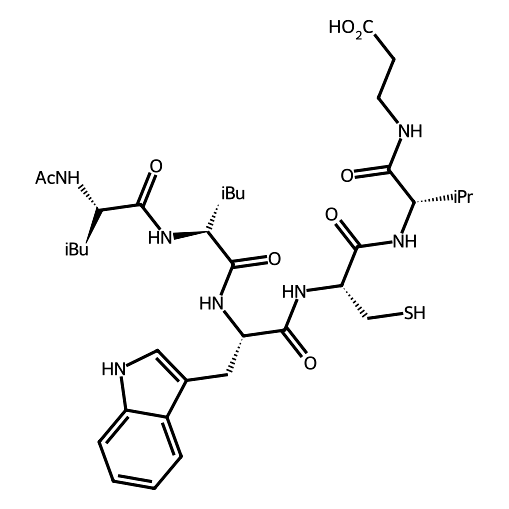 CC[C@H](C)[C@H](NC(C)=O)C(=O)N[C@H](C(=O)N[C@@H](Cc1c[nH]c2ccccc12)C(=O)N[C@@H](CS)C(=O)N[C@H](C(=O)NCCC(=O)O)C(C)C)[C@@H](C)CC